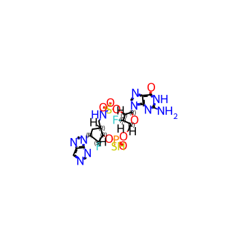 Nc1nc2c(ncn2[C@@H]2O[C@@H]3COP(=O)(S)O[C@@H]4[C@@H](CNS(=O)(=O)O[C@@H]2[C@@H]3F)C[C@@H](n2cnc3cncnc32)[C@@H]4F)c(=O)[nH]1